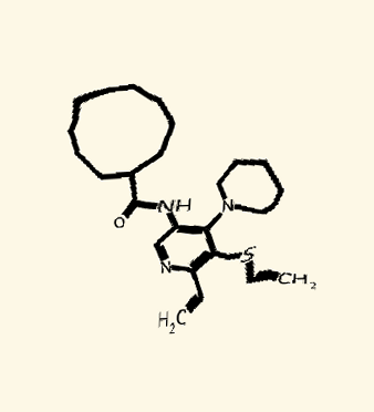 C=CSc1c(C=C)ncc(NC(=O)C2CCCCCCCCC2)c1N1CCCCC1